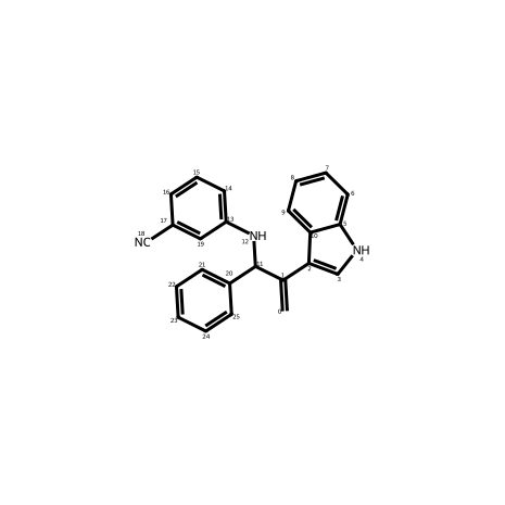 C=C(c1c[nH]c2ccccc12)C(Nc1cccc(C#N)c1)c1ccccc1